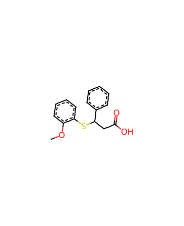 COc1ccccc1SC(CC(=O)O)c1ccccc1